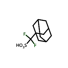 O=S(=O)(O)C(F)(F)C12CC3CC(CC(C3)C1)C2